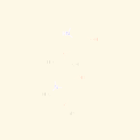 CC(C)OCC1C(O)C(C(C)(C)OCC2NCCC2O)CN1C